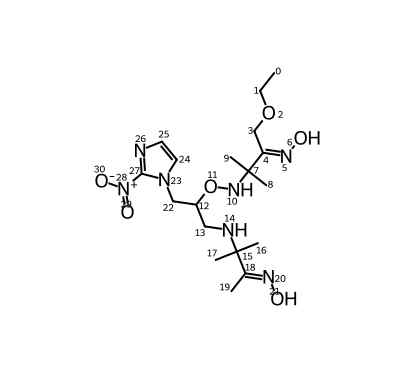 CCOCC(=NO)C(C)(C)NOC(CNC(C)(C)C(C)=NO)Cn1ccnc1[N+](=O)[O-]